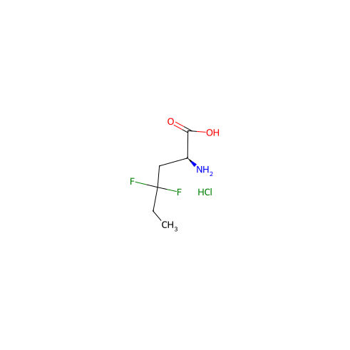 CCC(F)(F)C[C@H](N)C(=O)O.Cl